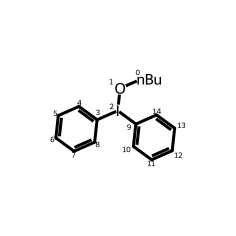 CCCCOI(c1ccccc1)c1ccccc1